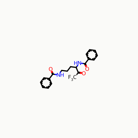 O=C(NCCCC(NC(=O)c1ccccc1)C(=O)C(F)(F)F)c1ccccc1